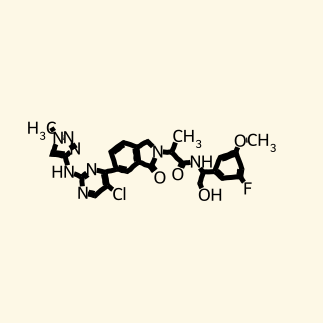 COc1cc(F)cc(C(CO)NC(=O)C(C)N2Cc3ccc(-c4nc(Nc5cn(C)nn5)ncc4Cl)cc3C2=O)c1